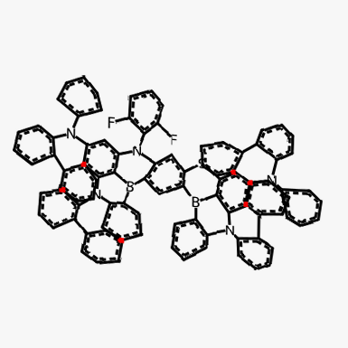 Fc1cccc(F)c1N1c2cc3c(cc2B2c4ccccc4N(c4ccccc4-c4ccccc4)c4cc(N(c5ccccc5)c5ccccc5-c5ccccc5)cc1c42)B1c2ccccc2N(c2ccccc2-c2ccccc2)c2cc(N(c4ccccc4)c4ccccc4-c4ccccc4)cc(c21)S3